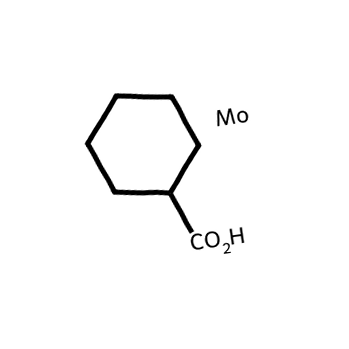 O=C(O)C1CCCCC1.[Mo]